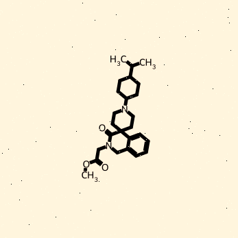 COC(=O)CN1Cc2ccccc2C2(CCN(C3CCC(C(C)C)CC3)CC2)C1=O